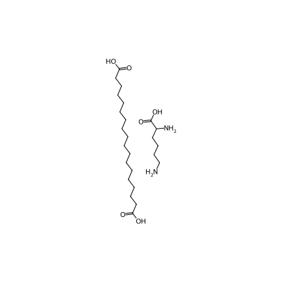 NCCCCC(N)C(=O)O.O=C(O)CCCCCCCCCCCCCCCCC(=O)O